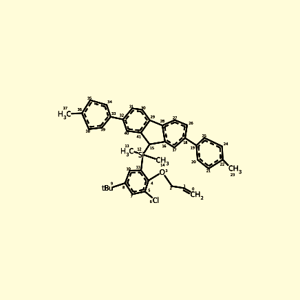 C=CCOc1c(Cl)cc(C(C)(C)C)cc1[Si](C)(C)C1c2cc(-c3ccc(C)cc3)ccc2-c2ccc(-c3ccc(C)cc3)cc21